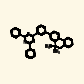 CC1(C)Cc2ccccc2-c2ccc(-c3cccc(-c4nc(-c5ccccc5)nc(-c5ccccc5)n4)c3)cc21